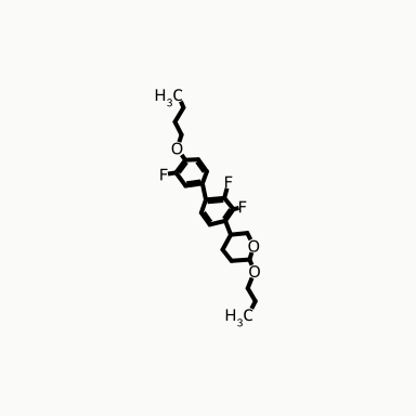 CCCCOc1ccc(-c2ccc(C3CCC(OCCC)OC3)c(F)c2F)cc1F